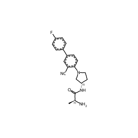 C[C@H](N)C(=O)N[C@H]1CCN(c2ccc(-c3ccc(F)cc3)cc2C#N)C1